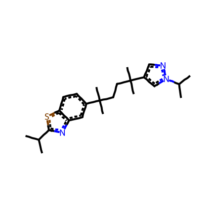 CC(C)c1nc2cc(C(C)(C)CCC(C)(C)c3cnn(C(C)C)c3)ccc2s1